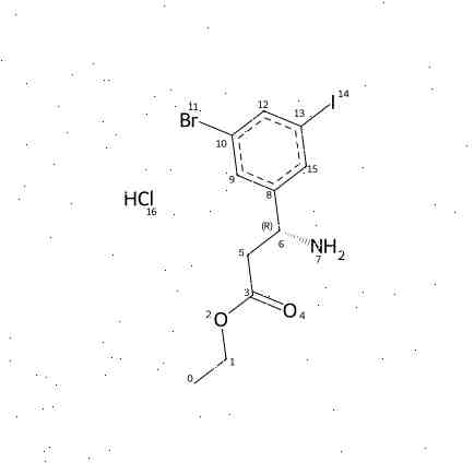 CCOC(=O)C[C@@H](N)c1cc(Br)cc(I)c1.Cl